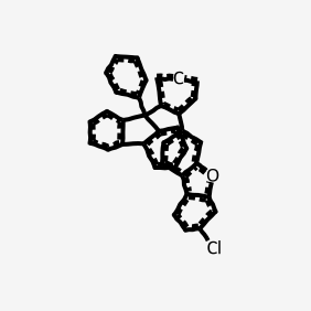 Clc1ccc2c(c1)oc1cc(-c3ccccc3C3(c4ccccc4)c4ccccc4-c4ccccc43)ccc12